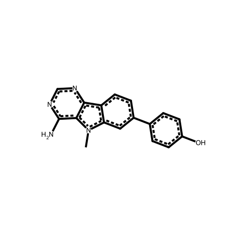 Cn1c2cc(-c3ccc(O)cc3)ccc2c2ncnc(N)c21